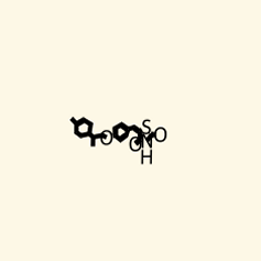 CC1=CCC(C(C)COc2ccc(C=C3SC(=O)NC3=O)cc2)CC1